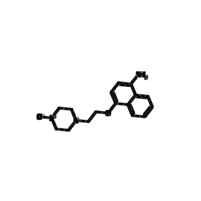 Nc1ccc(OCCN2CC[S+]([O-])CC2)c2ccccc12